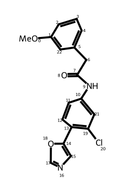 COc1cccc(CC(=O)Nc2ccc(-c3cnco3)c(Cl)c2)c1